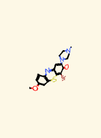 COc1ccc2nc3cc(N4CCN(C)CC4)c(=O)c(Br)c-3sc2c1